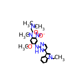 CCn1cc(-c2ccnc(Nc3cc([N+](=O)[O-])c(N(C)CCN(C)C)cc3OC)n2)c2ccccc21